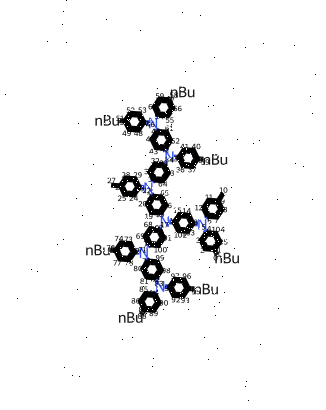 CCCCc1ccc(N(c2ccc(C)cc2)c2ccc(N(c3ccc(N(c4ccc(C)cc4)c4ccc(N(c5ccc(CCCC)cc5)c5ccc(N(c6ccc(CCCC)cc6)c6ccc(CCCC)cc6)cc5)cc4)cc3)c3ccc(N(c4ccc(CCCC)cc4)c4ccc(N(c5ccc(CCCC)cc5)c5ccc(CCCC)cc5)cc4)cc3)cc2)cc1